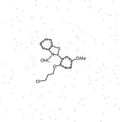 COc1ccc(OCCCCl)c(C2Sc3ccccc3N2C=O)c1